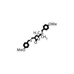 COc1ccc(CSCC2CC(C(C)(C)SCc3ccc(OC)cc3)OC2=O)cc1